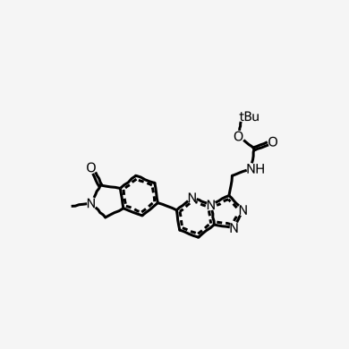 CN1Cc2cc(-c3ccc4nnc(CNC(=O)OC(C)(C)C)n4n3)ccc2C1=O